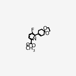 COC(=O)c1ccc(F)c(C2=CCC3(CC2)OCCO3)n1